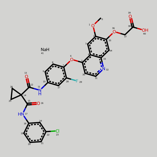 COc1cc2c(Oc3ccc(NC(=O)C4(C(=O)Nc5cccc(Cl)c5)CC4)cc3F)ccnc2cc1OCC(=O)O.[NaH]